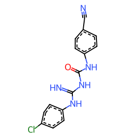 N#Cc1ccc(NC(=O)NC(=N)Nc2ccc(Cl)cc2)cc1